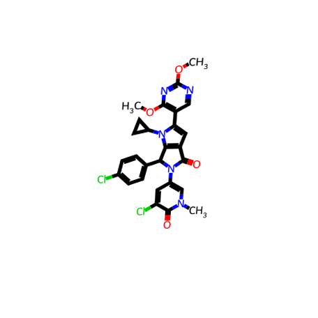 COc1ncc(-c2cc3c(n2C2CC2)C(c2ccc(Cl)cc2)N(c2cc(Cl)c(=O)n(C)c2)C3=O)c(OC)n1